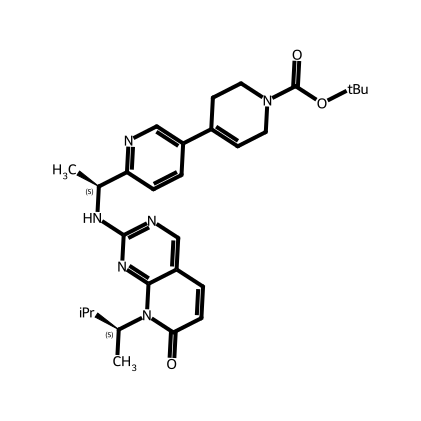 CC(C)[C@H](C)n1c(=O)ccc2cnc(N[C@@H](C)c3ccc(C4=CCN(C(=O)OC(C)(C)C)CC4)cn3)nc21